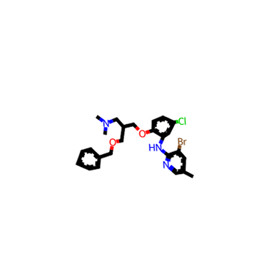 Cc1cnc(Nc2cc(Cl)ccc2OCC(COCc2ccccc2)CN(C)C)c(Br)c1